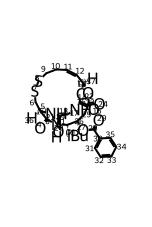 CC[C@@H](C)C1NC(=O)[C@H]2CSSCCC=C[C@H](CC(=O)NCC(=O)N2)OC(=O)CC1OC(=O)c1ccccc1